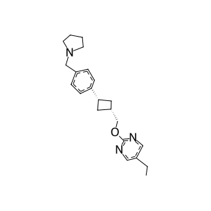 CCc1cnc(OC[C@H]2C[C@@H](c3ccc(CN4CCCC4)cc3)C2)nc1